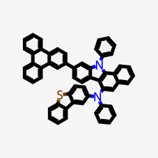 c1ccc(N(c2ccc3sc4ccccc4c3c2)c2cc3ccccc3c3c2c2ccc(-c4ccc5c6ccccc6c6ccccc6c5c4)cc2n3-c2ccccc2)cc1